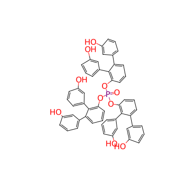 O=P(Oc1cccc(-c2cccc(O)c2)c1-c1cccc(O)c1)(Oc1cccc(-c2cccc(O)c2)c1-c1cccc(O)c1)Oc1cccc(-c2cccc(O)c2)c1-c1cccc(O)c1